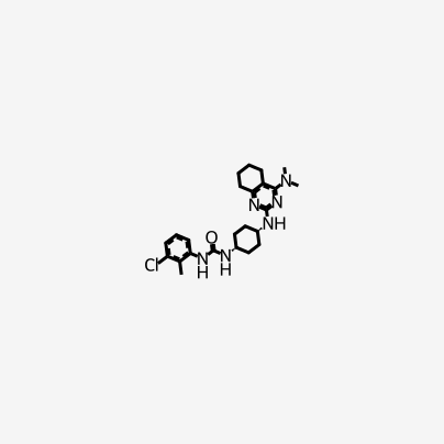 Cc1c(Cl)cccc1NC(=O)N[C@H]1CC[C@@H](Nc2nc3c(c(N(C)C)n2)CCCC3)CC1